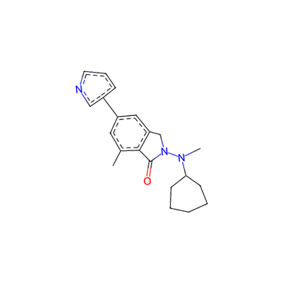 Cc1cc(-c2cccnc2)cc2c1C(=O)N(N(C)C1CCCCC1)C2